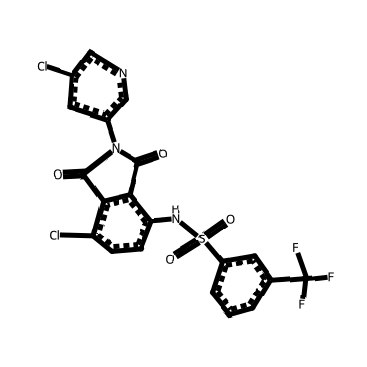 O=C1c2c(Cl)ccc(NS(=O)(=O)c3cccc(C(F)(F)F)c3)c2C(=O)N1c1cncc(Cl)c1